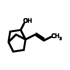 CC=CC12CCC(CC1O)C2